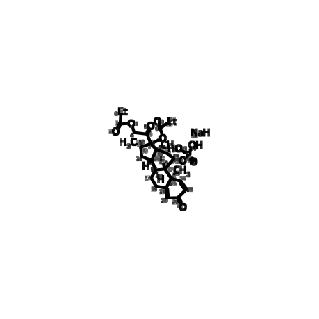 CCC(=O)OCC(=O)[C@@]1(OC(=O)CC)[C@@H](C)C[C@H]2[C@@H]3CCC4=CC(=O)C=C[C@]4(C)C3(F)[C@@H](OP(=O)(O)O)C[C@@]21C.[NaH]